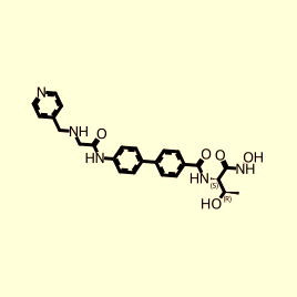 C[C@@H](O)[C@H](NC(=O)c1ccc(-c2ccc(NC(=O)CNCc3ccncc3)cc2)cc1)C(=O)NO